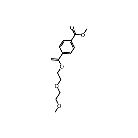 C=C(OCCOCCOC)c1ccc(C(=O)OC)cc1